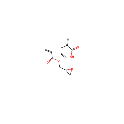 C=C.C=C(C)C(=O)O.C=CC(=O)OCC1CO1